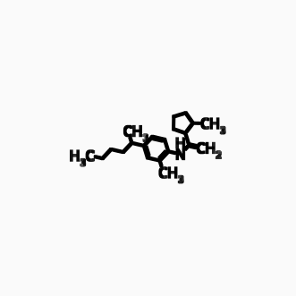 C=C(Nc1ccc(C(C)CCCC)cc1C)C1CCCC1C